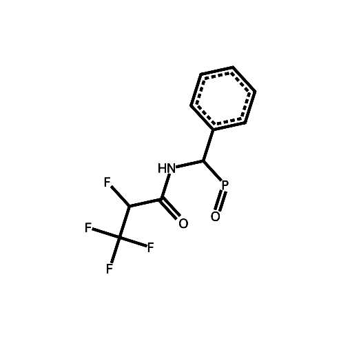 O=PC(NC(=O)C(F)C(F)(F)F)c1ccccc1